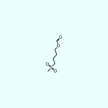 CS(=O)(=O)CCCCOC=O